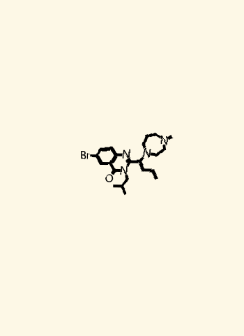 CCCC(c1nc2ccc(Br)cc2c(=O)n1CC(C)C)N1CCCN(C)CC1